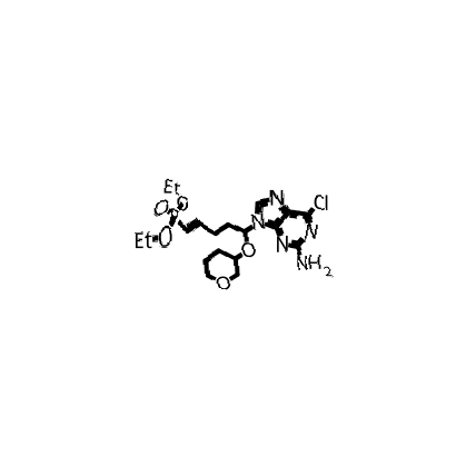 CCOP(=O)(C=CCCC(OC1CCCOC1)n1cnc2c(Cl)nc(N)nc21)OCC